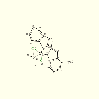 CCc1cccc2c1C=C(C)[CH]2[Zr]([Cl])([Cl])([CH]1C=Cc2ccccc21)[SiH](C)C